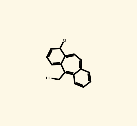 OCC1=c2ccccc2=CC=C2C1=CC=CC2Cl